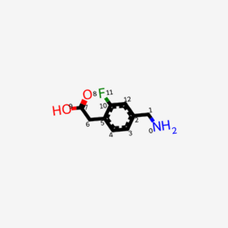 NCc1ccc(CC(=O)O)c(F)c1